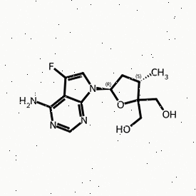 C[C@H]1C[C@H](n2cc(F)c3c(N)ncnc32)OC1(CO)CO